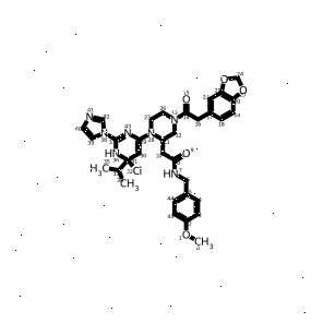 COc1ccc(CNC(=O)CC2CN(C(=O)Cc3ccc4c(c3)OCO4)CCN2C2=CC(Cl)(C(C)C)NC(n3ccnc3)=N2)cc1